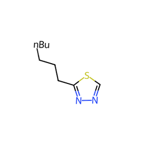 CCCCCCCc1nncs1